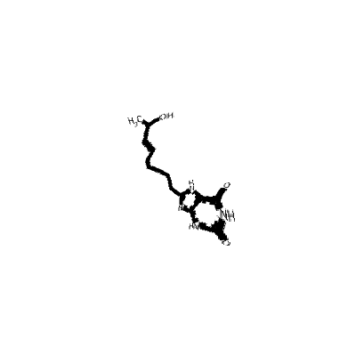 CC(O)CCCCCc1nc2[nH]c(=O)[nH]c(=O)c2[nH]1